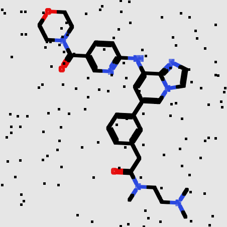 CN(C)CCN(C)C(=O)Cc1cccc(-c2cc(Nc3ccc(C(=O)N4CCOCC4)cn3)c3nccn3c2)c1